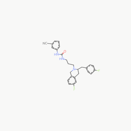 N#Cc1cccc(NC(=O)NCCCN2Cc3ccc(F)cc3CC2Cc2ccc(F)cc2)c1